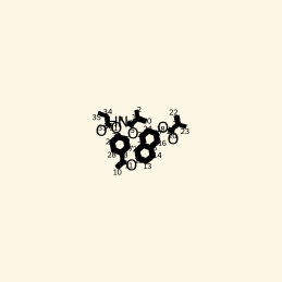 C=C(C)C(=N)Oc1cc(C(=C)Oc2ccc3cc(OC(=O)C(=C)C)ccc3c2)ccc1OC(=O)CC